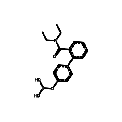 CCN(CC)C(=O)c1ccccc1-c1ccc(OB(O)O)cc1